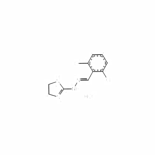 Cl.Clc1cccc(Cl)c1C=NNC1=NCCN1